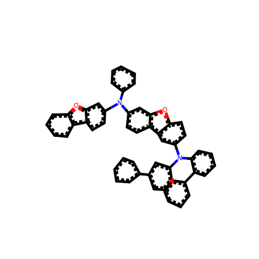 c1ccc(-c2cccc(N(c3ccc4oc5cc(N(c6ccccc6)c6ccc7c(c6)oc6ccccc67)ccc5c4c3)c3ccccc3-c3ccccc3)c2)cc1